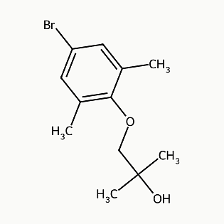 Cc1cc(Br)cc(C)c1OCC(C)(C)O